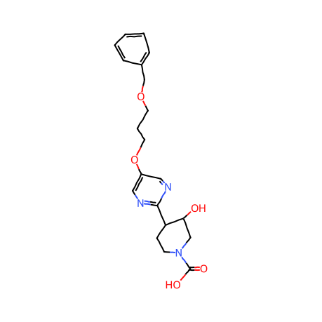 O=C(O)N1CCC(c2ncc(OCCCOCc3ccccc3)cn2)C(O)C1